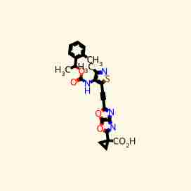 Cc1ccccc1C(C)OC(=O)Nc1c(C)nsc1C#Cc1nc2nc(C3(C(=O)O)CC3)oc2o1